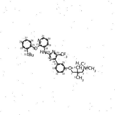 CN(C)CC(C)(C)COc1cccc(-c2sc(Nc3cccnc3Oc3ccccc3C(C)(C)C)nc2C(F)(F)F)c1